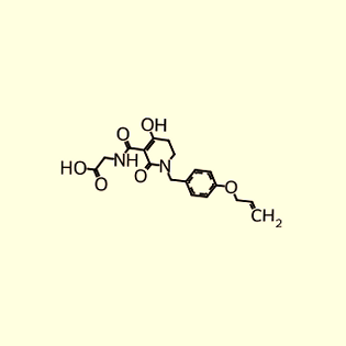 C=CCOc1ccc(CN2CCC(O)=C(C(=O)NCC(=O)O)C2=O)cc1